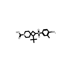 Cc1cc(S(=O)(=O)C2CC3(CCN(C(=O)O)CC3)C2C(C)(C)C)ccc1N